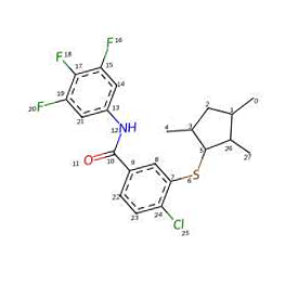 CC1CC(C)C(Sc2cc(C(=O)Nc3cc(F)c(F)c(F)c3)ccc2Cl)C1C